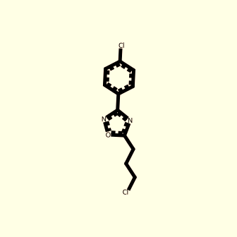 ClCCCc1nc(-c2ccc(Cl)cc2)no1